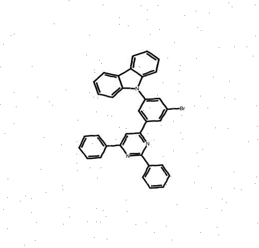 Brc1cc(-c2cc(-c3ccccc3)nc(-c3ccccc3)n2)cc(-n2c3ccccc3c3ccccc32)c1